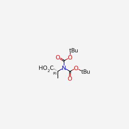 C[C@H](C(=O)O)N(C(=O)OC(C)(C)C)C(=O)OC(C)(C)C